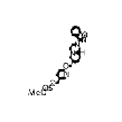 COOSOCc1ccc(OC[C@@H]2CC[C@H]3CN(c4noc5ccccc45)CCN3C2)nc1